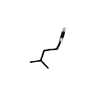 CC(C)C[CH2][Zr]=[O]